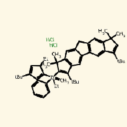 Cl.Cl.[CH2]=[Zr]([CH2]C)([C]1=CC(C(C)(C)C)=CC1CC)([C]1=C(C(C)(C)C)c2cc3c(cc2C1(C)C)Cc1cc2c(cc1-3)C(C(C)(C)C)=CC2(C)C)[c]1ccccc1